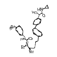 CCN(C(=N)CCCc1ccc(-c2ccc(C(O)C(=O)NC3CC3)cc2)cc1)C(=O)NCc1ccc(C(C)(C)C)cc1